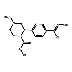 CC(C)(C)OC(=O)N1CCN(C(=O)O)CC1c1ccc(/C(Cl)=N/O)cc1